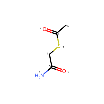 CC(=O)SCC(N)=O